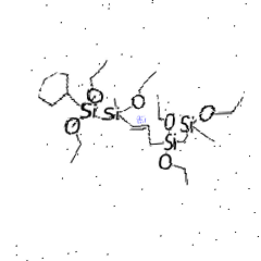 CCO[Si](C)(C)C[Si](C/C=C/[Si](C)(C[Si](OCC)(OCC)C1CCCCC1)OCC)(OCC)OCC